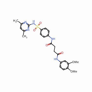 COc1ccc(NC(=O)CCC(=O)Nc2ccc(S(=O)(=O)Nc3nc(C)cc(C)n3)cc2)cc1OC